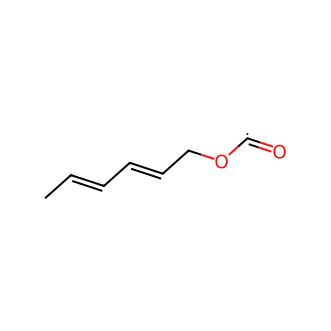 C/C=C/C=C/CO[C]=O